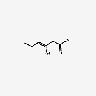 CC/C=C(\O)CC(=O)O